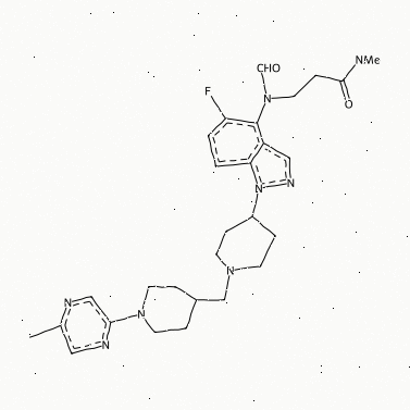 CNC(=O)CCN(C=O)c1c(F)ccc2c1cnn2C1CCN(CC2CCN(c3cnc(C)cn3)CC2)CC1